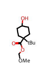 COCOC(=O)C1(C(C)(C)C)CCC(O)CC1